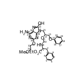 CCOC(=O)C(Cc1ccccc1)NCOC(COc1ccccc1)Cn1c(O)nc2c(N)nc(OCCOC)nc21